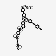 C#Cc1ccc(C#Cc2ccc(C#CC3(OC(=O)c4ccc5cc(OC(=O)C6CCC(C(=O)OCCCCOC(=O)C=C)CC6)ccc5c4)CCC(C4CCC(CCCCC)CC4)CC3)cc2)cc1